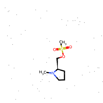 CN1CCC[C@@H]1COS(C)(=O)=O